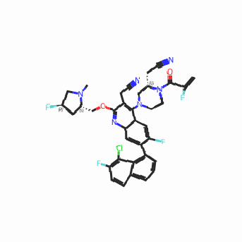 C=C(F)C(=O)N1CCN(C2=C(CC#N)C(OC[C@@H]3C[C@@H](F)CN3C)=NC3C=C(c4cccc5ccc(F)c(Cl)c45)C(F)=CC23)C[C@@H]1CC#N